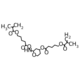 C=C(C)C(=O)OCCCCC(=O)ONC1CC(OC(=O)CCCCOC(=O)C(=C)C)CCO1